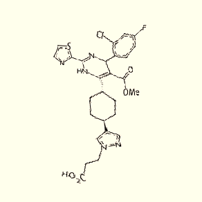 COC(=O)C1=C([C@H]2CC[C@H](c3cnn(CCC(=O)O)c3)CC2)NC(c2nccs2)=NC1c1ccc(F)cc1Cl